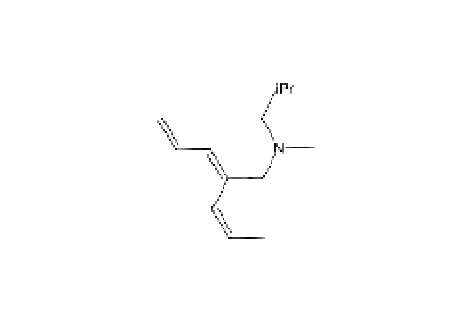 C=C/C=C(\C=C/C)CN(C)CC(C)C